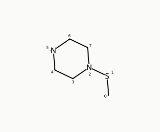 CSN1CC[N]CC1